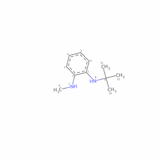 CNc1ccccc1NC(C)(C)C